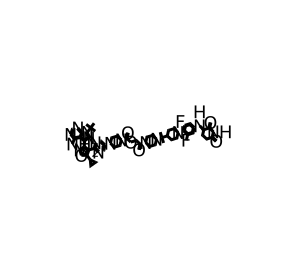 CC(C)(C1CCN(c2c(F)cc(NC3CCC(=O)NC3=O)cc2F)CC1)N1CCN(C(=O)COC(=O)N2CCN(c3cnc(-c4c(-c5nn(C(C)(C)C)c6ncnc(N)c56)noc4C4CC4)nc3)CC2)CC1